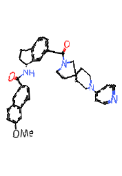 COc1ccc2cc(C(=O)N[C@@H]3CCc4ccc(C(=O)N5CCC6(CCN(c7ccncc7)CC6)C5)cc43)ccc2c1